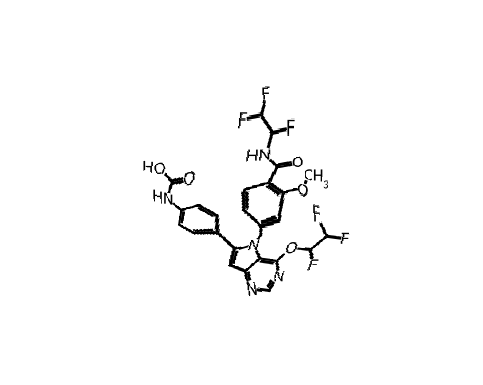 COc1cc(-n2c(-c3ccc(NC(=O)O)cc3)cc3ncnc(OC(F)C(F)F)c32)ccc1C(=O)NC(F)C(F)F